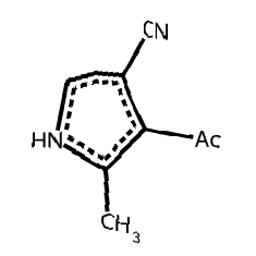 CC(=O)c1c(C#N)c[nH]c1C